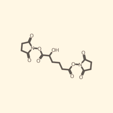 O=C(CCCC(O)C(=O)ON1C(=O)CCC1=O)ON1C(=O)CCC1=O